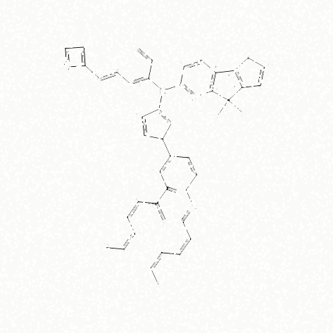 C=C/C(=C\C=CC1=CC=N1)N(C1=CC(C(/C=C\C/N=C/C=C\C=C/C)=C/C(=C)C(=C)/C=C\C=C/C)C=C1)c1ccc2c(c1)C(C)(C)C1=C2CC=C1